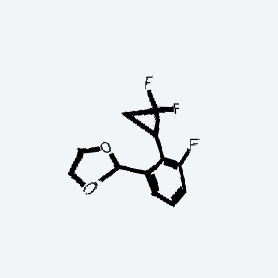 Fc1cccc(C2OCCO2)c1C1CC1(F)F